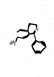 C/C=C1/CCN=C(c2ccccc2)/C1=C/CC(C)C